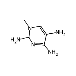 CN1C=C(N)C(N)=NC1N